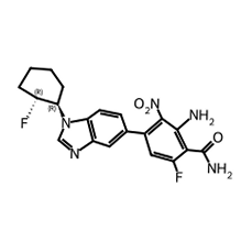 NC(=O)c1c(F)cc(-c2ccc3c(c2)ncn3[C@@H]2CCCC[C@H]2F)c([N+](=O)[O-])c1N